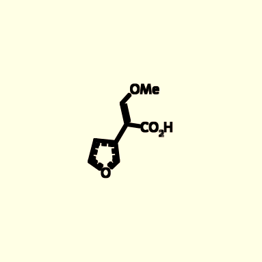 COC=C(C(=O)O)c1ccoc1